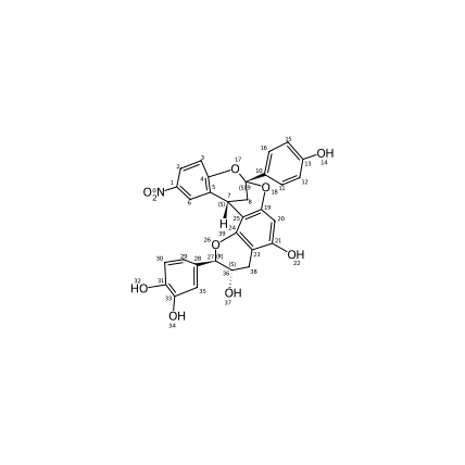 O=[N+]([O-])c1ccc2c(c1)[C@@H]1C[C@](c3ccc(O)cc3)(O2)Oc2cc(O)c3c(c21)O[C@H](c1ccc(O)c(O)c1)[C@@H](O)C3